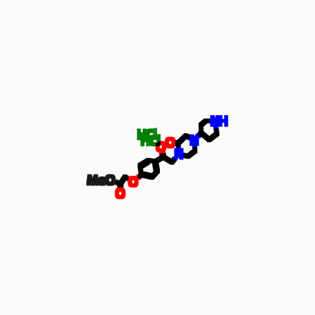 COC(=O)COc1ccc(C(=O)CN2CCN(C3CCNCC3)CC2=O)cc1.Cl.Cl